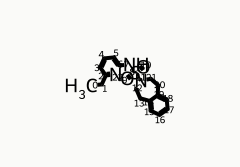 CCc1cccc(NS(=O)(=O)N2CCc3ccccc3CC2)n1